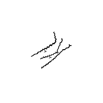 CCCCC/C=C/C/C=C/CCCCCCCCCCCC(N)CCCCCCCC(C)C.CCCCCCCC/C=C\CCCCCCCC(CCCCCCCC)N(C)C.CCCCCCCC/C=C\CCCCCCCC(CCCCCCCCC)N(C)C